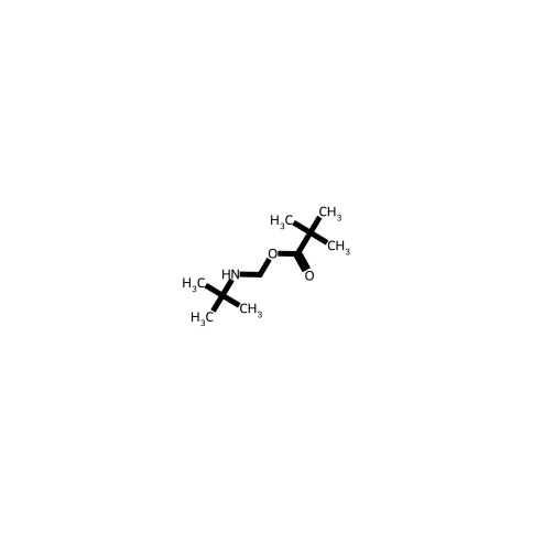 CC(C)(C)NCOC(=O)C(C)(C)C